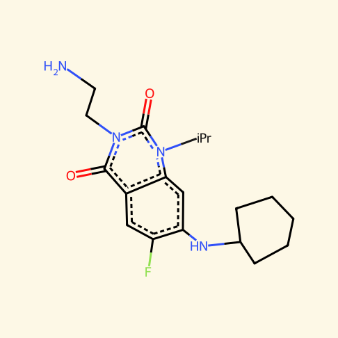 CC(C)n1c(=O)n(CCN)c(=O)c2cc(F)c(NC3CCCCC3)cc21